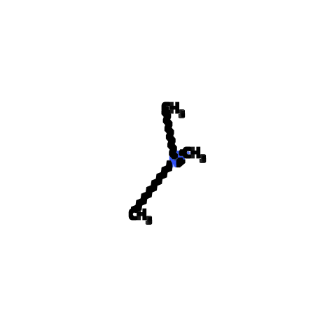 CCCCCCCCCCCCCCCCn1cc[n+](CC)c1CCCCCCCCCCCC